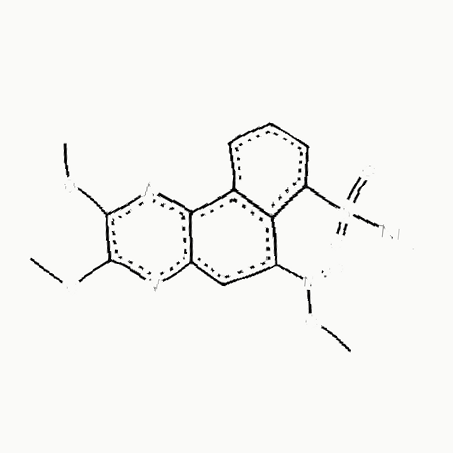 COc1nc2cc([N+](=O)OC)c3c(S(N)(=O)=O)cccc3c2nc1OC